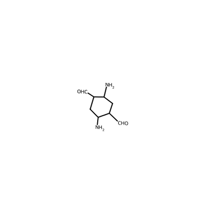 NC1CC(C=O)C(N)CC1C=O